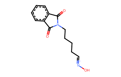 O=C1c2ccccc2C(=O)N1CCCC/C=N/O